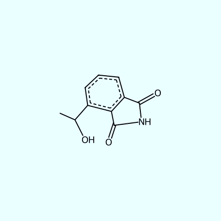 CC(O)c1cccc2c1C(=O)NC2=O